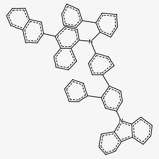 c1ccc(-c2cc(-n3c4ccccc4c4ccccc43)ccc2-c2ccc(N(c3ccccc3-c3ccccc3)c3ccc(-c4ccc5ccccc5c4)c4ccccc34)cc2)cc1